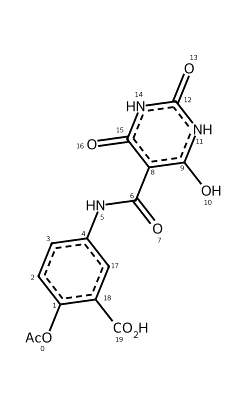 CC(=O)Oc1ccc(NC(=O)c2c(O)[nH]c(=O)[nH]c2=O)cc1C(=O)O